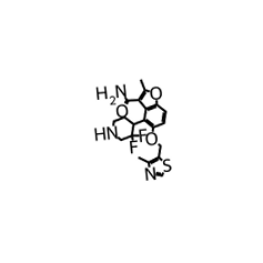 Cc1ncsc1COc1ccc2oc(C)c(C(N)=O)c2c1C1CCNCC1(F)F